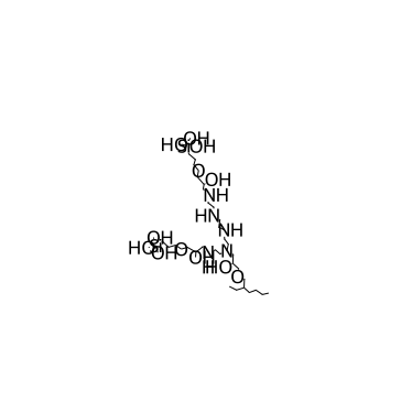 CCCCC(CC)COCC(O)CN(CCNCCNCCNCC(O)COCCC[Si](O)(O)O)CCNCC(O)COCCC[Si](O)(O)O